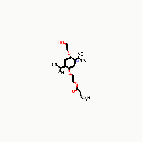 [C-]#[N+]/C(C#N)=c1/cc(OCCOC(=O)CS(=O)(=O)O)/c(=C(\C#N)[N+]#[C-])cc1OCCO